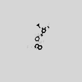 O=C(N[C@@H]1CCC[C@H](Nc2cc(C(F)(F)F)nc3ccccc23)C1)c1ccc(OC(F)F)c(OCC2CC2)c1